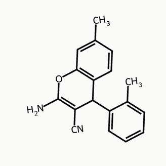 Cc1ccc2c(c1)OC(N)=C(C#N)C2c1ccccc1C